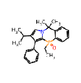 CCP1(=O)c2ccccc2C(C)(C)n2cc(C(C)C)c(-c3ccccc3)c21